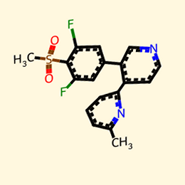 Cc1cccc(-c2ccncc2-c2cc(F)c(S(C)(=O)=O)c(F)c2)n1